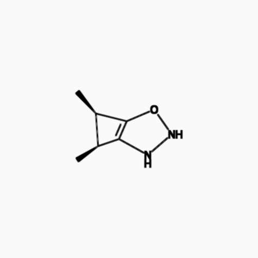 C[C@@H]1C2=C(ONN2)[C@@H]1C